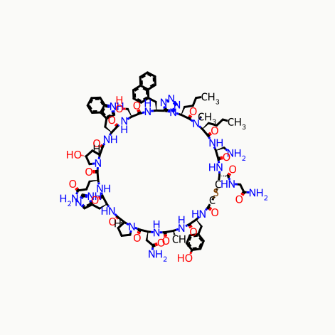 CCCC[C@H]1C(=O)N[C@@H](CN)C(=O)N[C@H](C(=O)NCC(N)=O)CSCC(=O)N[C@@H](Cc2ccc(O)cc2)C(=O)N[C@@H](C)C(=O)N[C@@H](CC(N)=O)C(=O)N2CCC[C@H]2C(=O)N[C@@H](Cc2cnc[nH]2)C(=O)N[C@@H](CCC(N)=O)C(=O)N2C[C@H](O)C[C@H]2C(=O)N[C@@H](Cc2c[nH]c3ccccc23)C(=O)N[C@@H](CO)C(=O)N[C@@H](Cc2cccc3ccccc23)c2nnnn2[C@@H](CCCC)C(=O)N1C